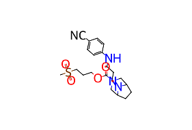 CS(=O)(=O)CCCOC(=O)N1CC2CCC(C1)N2CCCNc1ccc(C#N)cc1